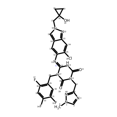 Cn1cnc(Cn2c(=O)[nH]/c(=N\c3cc4cn(CC5(O)CC5)nc4cc3Cl)n(Cc3cc(F)c(F)cc3F)c2=O)n1